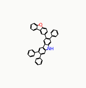 c1ccc(-c2cc3[nH]c4cc(-c5ccccc5)c(-c5ccc6oc7ccccc7c6c5)cc4c3cc2-c2ccccc2)cc1